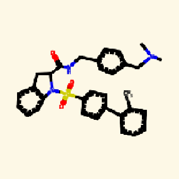 CN(C)Cc1ccc(CNC(=O)[C@@H]2Cc3ccccc3N2S(=O)(=O)c2ccc(-c3ccccc3C(F)(F)F)cc2)cc1